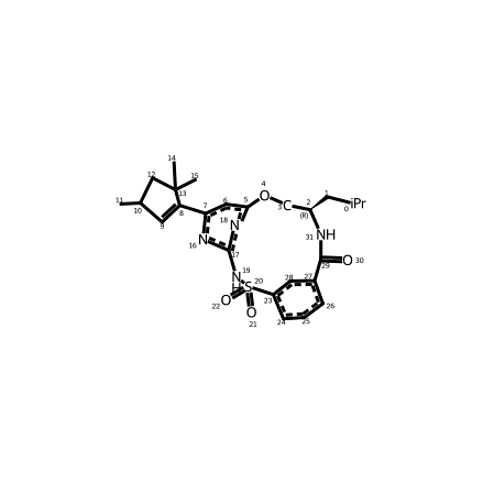 CC(C)C[C@@H]1COc2cc(C3=CC(C)CC3(C)C)nc(n2)NS(=O)(=O)c2cccc(c2)C(=O)N1